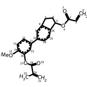 C=CC(=O)OC1CCc2cc(-c3ccc(OC)c(OC(=O)C(=C)C)c3)ccc21